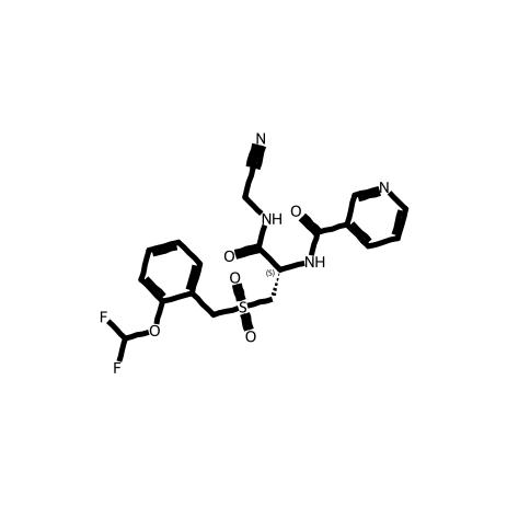 N#CCNC(=O)[C@@H](CS(=O)(=O)Cc1ccccc1OC(F)F)NC(=O)c1cccnc1